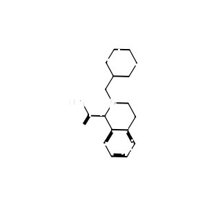 NC(=O)C1c2cc[c]cc2CCN1CC1CCCCC1